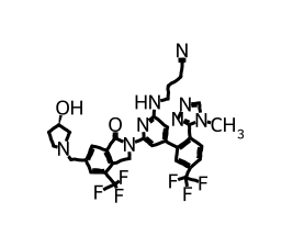 Cn1cnnc1-c1ccc(C(F)(F)F)cc1-c1cc(NCCCC#N)nc(N2Cc3c(cc(CN4CC[C@@H](O)C4)cc3C(F)(F)F)C2=O)c1